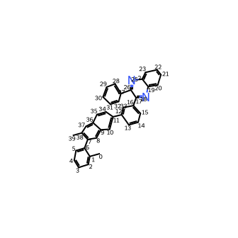 Cc1ccccc1-c1cc2cc(-c3cccc(-c4nc5ccccc5nc4-c4ccccc4)c3)ccc2cc1C